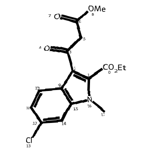 CCOC(=O)c1c(C(=O)CC(=O)OC)c2ccc(Cl)cc2n1C